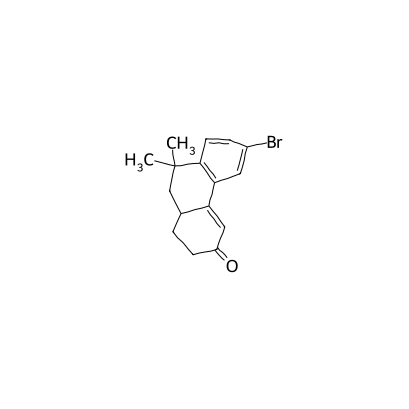 CC1(C)CC2CCC(=O)C=C2c2cc(Br)ccc21